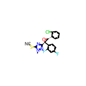 Cn1nc([C@@]2(c3ccc(F)cc3F)O[C@@H]2c2ccccc2Cl)nc1SC#N